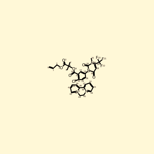 C=CCOC(=O)C(C)(C)OC(=O)c1cc(-n2c(=O)cc(C(F)(F)F)n(C)c2=O)ccc1Cl.c1cc[n+]2c(c1)-c1cccc[n+]1CC2